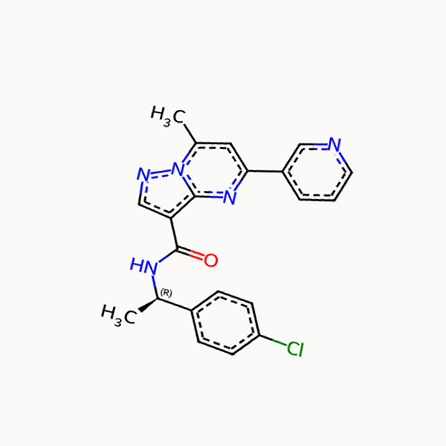 Cc1cc(-c2cccnc2)nc2c(C(=O)N[C@H](C)c3ccc(Cl)cc3)cnn12